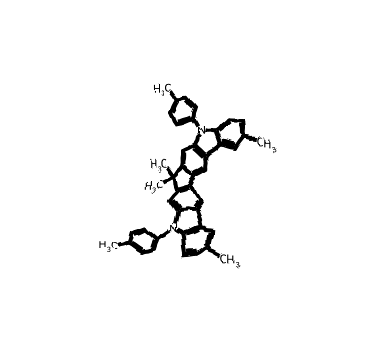 Cc1ccc(-n2c3ccc(C)cc3c3cc4c(cc32)C(C)(C)c2cc3c(cc2-4)c2cc(C)ccc2n3-c2ccc(C)cc2)cc1